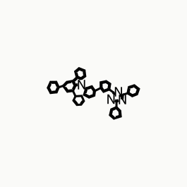 C1=CCC(c2cc(-c3ccccc3)cc3c4ccccc4n(-c4cccc(-c5cccc(-c6nc(-c7ccccc7)nc(-c7ccccc7)n6)c5)c4)c23)C=C1